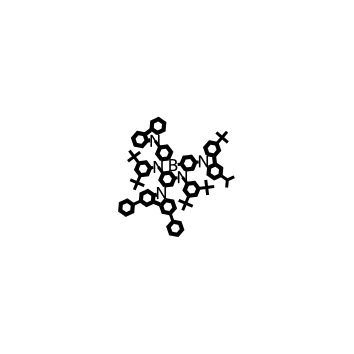 CC(C)c1ccc2c(c1)c1cc(C(C)(C)C)ccc1n2-c1ccc2c(c1)N(c1cc(C(C)(C)C)cc(C(C)(C)C)c1)c1cc(-n3c4ccc(-c5ccccc5)cc4c4cc(-c5ccccc5)ccc43)cc3c1B2c1ccc(-n2c4ccccc4c4ccccc42)cc1N3c1cc(C(C)(C)C)cc(C(C)(C)C)c1